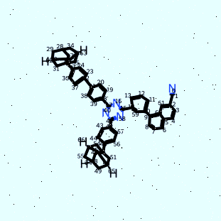 N#Cc1ccc2cccc(-c3cccc(-c4nc(-c5ccc(-c6ccc(C78CC9C[C@H](C7)C[C@@H](C9)C8)cc6)cc5)nc(-c5ccc(C67C[C@H]8C[C@@H](C6)C[C@@H](C7)C8)cc5)n4)c3)c2c1